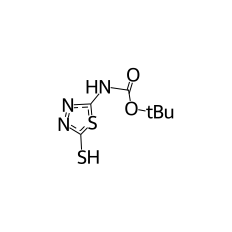 CC(C)(C)OC(=O)Nc1nnc(S)s1